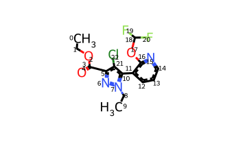 CCOC(=O)c1nn(CC)c(-c2cccnc2OC(F)F)c1Cl